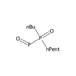 CCCCCP(=O)(CCCC)P=O